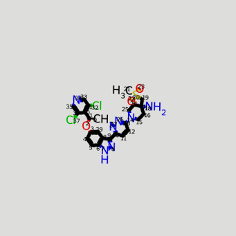 C[C@@H](Oc1ccc2[nH]nc(-c3ccc(N4CCC(N)(CS(C)(=O)=O)CC4)nn3)c2c1)c1c(Cl)cncc1Cl